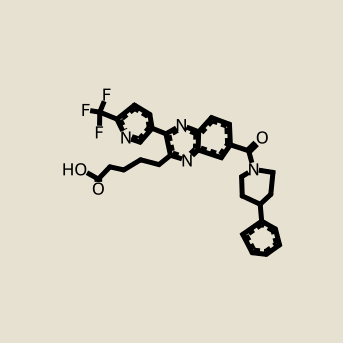 O=C(O)CCCCc1nc2cc(C(=O)N3CCC(c4ccccc4)CC3)ccc2nc1-c1ccc(C(F)(F)F)nc1